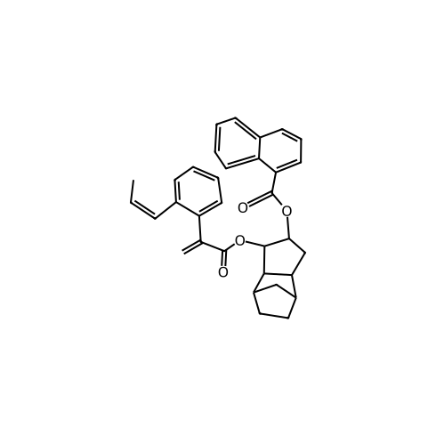 C=C(C(=O)OC1C(OC(=O)c2cccc3ccccc23)CC2C3CCC(C3)C21)c1ccccc1/C=C\C